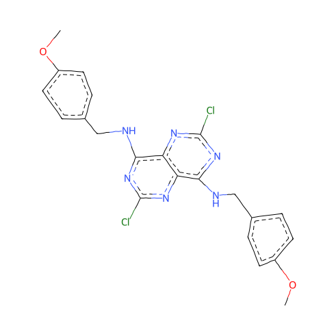 COc1ccc(CNc2nc(Cl)nc3c(NCc4ccc(OC)cc4)nc(Cl)nc23)cc1